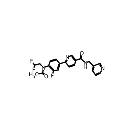 CC(=O)N(CC(F)F)c1ccc(-c2ccc(C(=O)NCc3cccnc3)cn2)cc1F